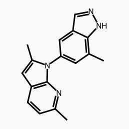 Cc1ccc2cc(C)n(-c3cc(C)c4[nH]ncc4c3)c2n1